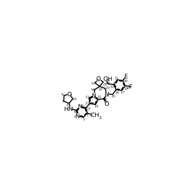 Cc1cnc(NC2CCOC2)nc1-c1cc2n(c1)CC1(COC1)CN(Cc1cc(F)c(F)cc1CO)C2=O